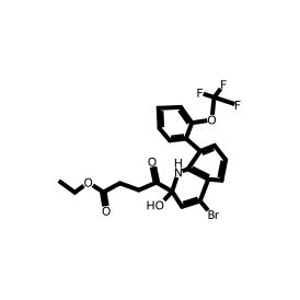 CCOC(=O)CCC(=O)C1(O)C=C(Br)c2cccc(-c3ccccc3OC(F)(F)F)c2N1